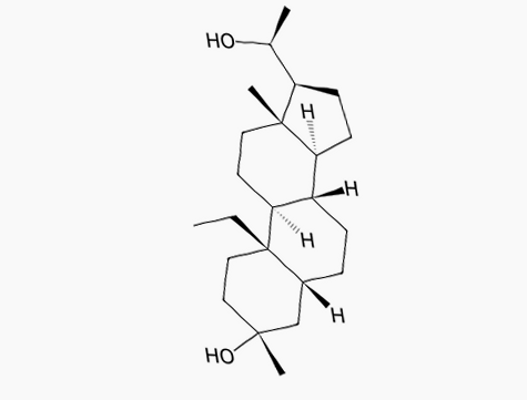 CC[C@]12CC[C@@](C)(O)C[C@H]1CC[C@H]1[C@@H]3CC[C@H]([C@H](C)O)[C@@]3(C)CC[C@@H]12